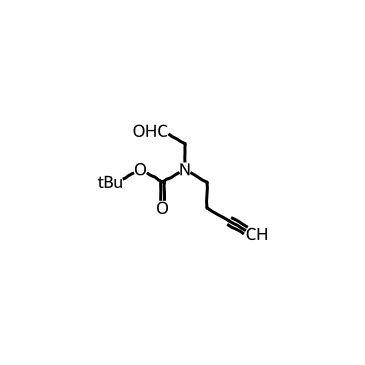 C#CCCN(CC=O)C(=O)OC(C)(C)C